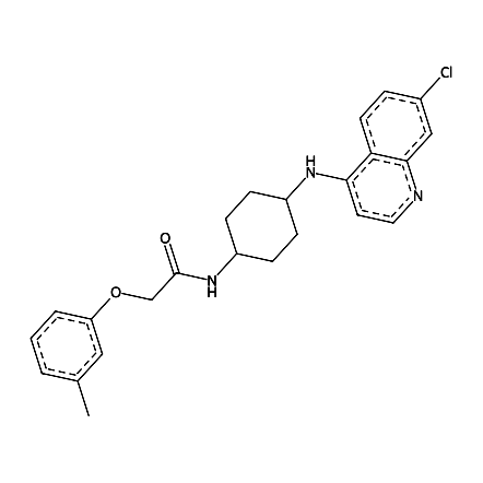 Cc1cccc(OCC(=O)NC2CCC(Nc3ccnc4cc(Cl)ccc34)CC2)c1